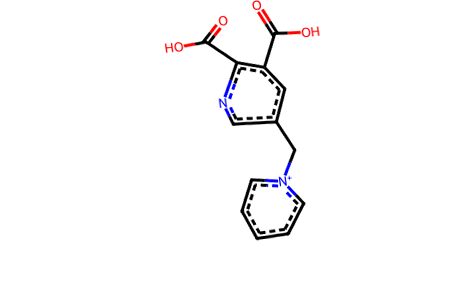 O=C(O)c1cc(C[n+]2ccccc2)cnc1C(=O)O